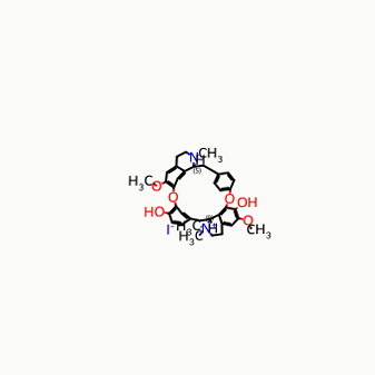 COc1cc2c3cc1Oc1cc(ccc1O)C[C@@H]1c4c(cc(OC)c(O)c4Oc4ccc(cc4)C[C@@H]3N(C)CC2)CC[N+]1(C)C.[I-]